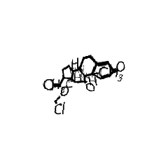 C[C@]12C=CC(=O)C=C1CC[C@@H]1[C@@H]2C(=O)C[C@]2(C)C(C(=O)OCCl)CC[C@@H]12